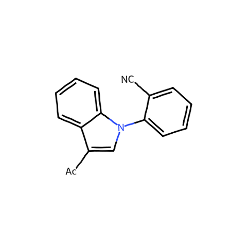 CC(=O)c1cn(-c2ccccc2C#N)c2ccccc12